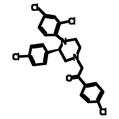 O=C(CN1CCN(c2ccc(Cl)cc2Cl)[C@H](c2ccc(Cl)cc2)C1)c1ccc(Cl)cc1